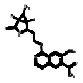 COc1cc2c(OCC[C@H]3NC(=O)[C@@]4(F)[C@@H]3[C@@H]4C)nccc2cc1C(N)=O